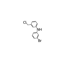 ClCc1cccc(Nc2cccc(Br)c2)c1